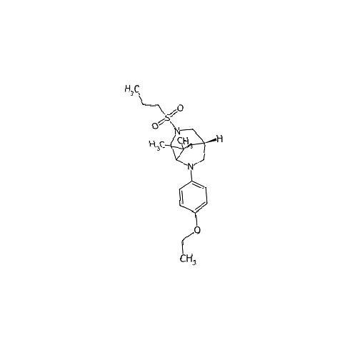 CCCS(=O)(=O)N1CC2N(c3ccc(OCC)cc3)C[C@@H](C1)CC2(C)C